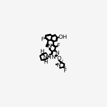 C#Cc1c(F)ccc2cc(O)cc(-c3ncc4c(N5C[C@H]6CC[C@@H](C5)N6)nc(OC[C@@]5(C)C[C@@H](F)CN5C)nc4c3F)c12